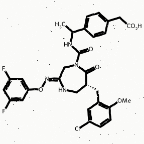 COc1ccc(Cl)cc1C[C@@H]1CN/C(=N\Oc2cc(F)cc(F)c2)CN(C(=O)NC(C)c2ccc(CC(=O)O)cc2)C1=O